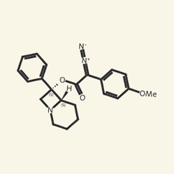 COc1ccc(C(=[N+]=[N-])C(=O)O[C@@]2(c3ccccc3)CN3CCCC[C@H]32)cc1